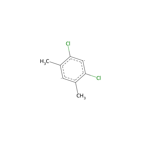 Cc1[c]c(C)c(Cl)[c]c1Cl